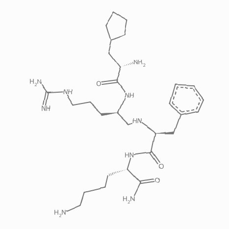 N=C(N)NCCC[C@H](CN[C@@H](Cc1ccccc1)C(=O)N[C@@H](CCCCN)C(N)=O)NC(=O)[C@@H](N)CC1CCCC1